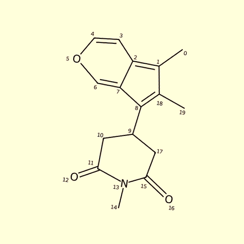 Cc1c2ccocc-2c(C2CC(=O)N(C)C(=O)C2)c1C